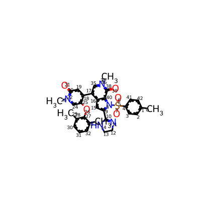 Cc1ccc(S(=O)(=O)n2c(C3=NCCN3)cc3c(-c4cc(=O)n(C)cc4Oc4c(C)cccc4C)cn(C)c(=O)c32)cc1